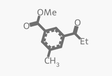 CCC(=O)c1cc(C)cc(C(=O)OC)c1